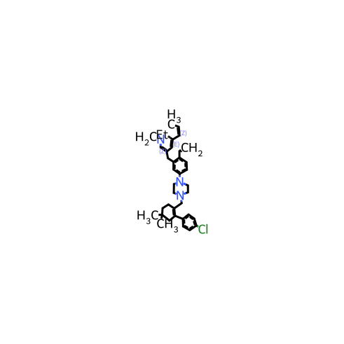 C=Cc1ccc(N2CCN(CC3=C(c4ccc(Cl)cc4)CC(C)(C)CC3)CC2)cc1CC(=C/N=C)/C=C(/C=C\C)CC